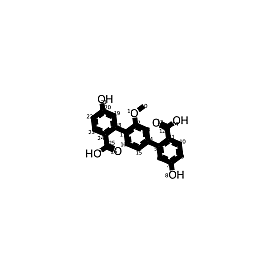 COc1cc(-c2cc(O)ccc2C(=O)O)ccc1-c1cc(O)ccc1C(=O)O